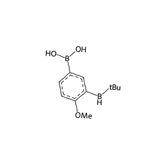 COc1ccc(B(O)O)cc1BC(C)(C)C